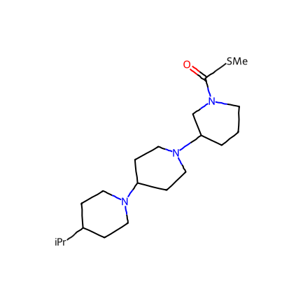 CSC(=O)N1CCCC(N2CCC(N3CCC(C(C)C)CC3)CC2)C1